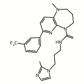 C=C(NCCCn1ccnc1C)N1CCCN(C)c2ccc(-c3cccc(C(F)(F)F)c3)nc21